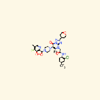 CCc1c(N2CCN(C(=O)c3ncc(C)c(F)c3O)CC2)c(=O)n2nc(C3=CCOCC3)nc2n1CC(=O)Nc1ccc(C(F)(F)F)cc1Cl